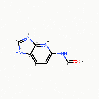 O=[C]Nc1ccc2[nH]cnc2n1